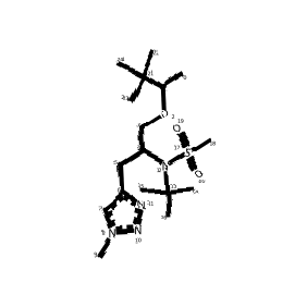 CC(OCC(Cc1cn(C)nn1)N(C(C)(C)C)S(C)(=O)=O)C(C)(C)C